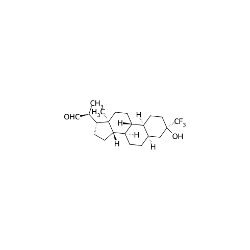 C[C@H](C=O)[C@H]1CC[C@H]2[C@@H]3CC[C@@H]4C[C@@](O)(C(F)(F)F)CC[C@@H]4[C@H]3CC[C@]12C